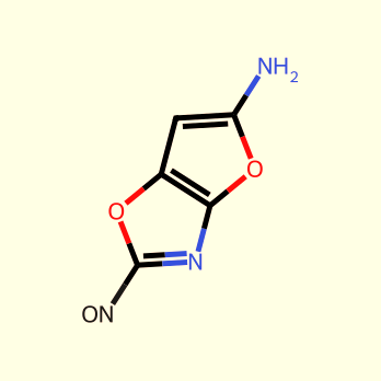 Nc1cc2oc(N=O)nc2o1